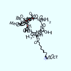 CCCCCCCC/C=C\CCCCCCCC(=O)OC[C@H](O)[C@H](C)[C@@H]1NC(=O)[C@@H]2C[C@@H](O)CN2C(=O)C[C@@H](C(N)=O)NC(=O)[C@@H]2C[S+]([O-])c3[nH]c4cc(OC)ccc4c3C[C@H](NC1=O)C(=O)NCC(=O)N[C@@H]([C@@H](C)CC)C(=O)NCC(=O)N2